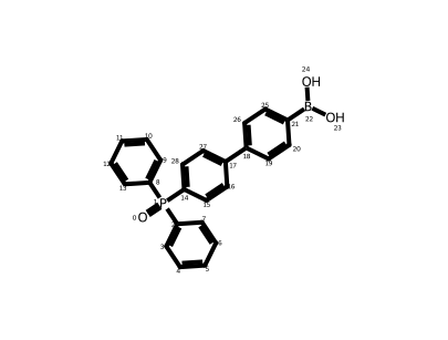 O=P(c1ccccc1)(c1ccccc1)c1ccc(-c2ccc(B(O)O)cc2)cc1